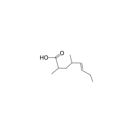 CC/C=C/C(C)CC(C)C(=O)O